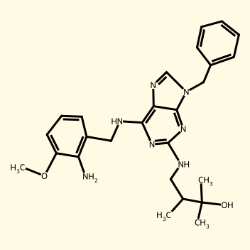 COc1cccc(CNc2nc(NCC(C)C(C)(C)O)nc3c2ncn3Cc2ccccc2)c1N